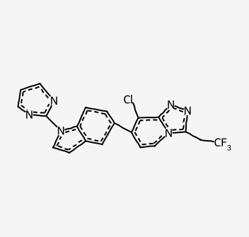 FC(F)(F)Cc1nnc2c(Cl)c(-c3ccc4c(ccn4-c4ncccn4)c3)ccn12